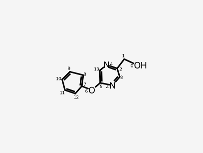 OCc1cnc(Oc2ccccc2)cn1